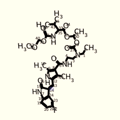 CCN(CCNC(=O)c1c(C)[nH]c(/C=C2\C(=O)Nc3ccc(F)cc32)c1C)C(=O)OC(C)OC(=O)C(NC(=O)OCOC)C(C)C